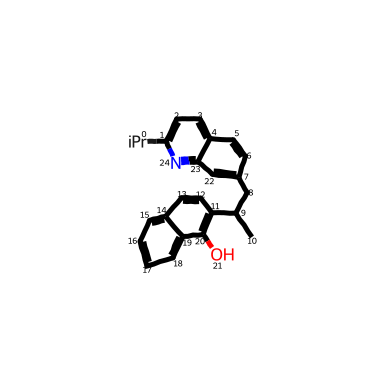 CC(C)c1ccc2ccc(CC(C)c3ccc4ccccc4c3O)cc2n1